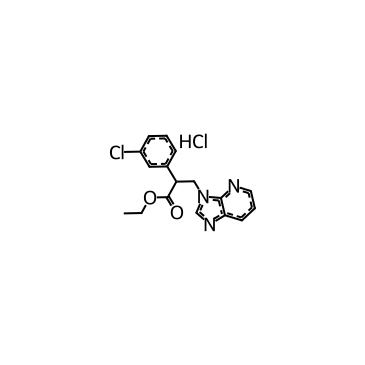 CCOC(=O)C(Cn1cnc2cccnc21)c1cccc(Cl)c1.Cl